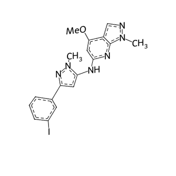 COc1cc(Nc2cc(-c3cccc(I)c3)nn2C)nc2c1cnn2C